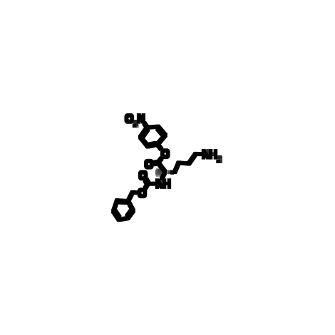 NCCCC[C@H](NC(=O)OCc1ccccc1)C(=O)Oc1ccc([N+](=O)[O-])cc1